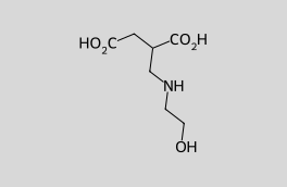 O=C(O)CC(CNCCO)C(=O)O